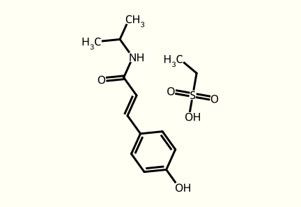 CC(C)NC(=O)C=Cc1ccc(O)cc1.CCS(=O)(=O)O